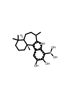 CC1CC[C@@H]2C(C)(C)CCC[C@@]2(C)c2c1[nH]c1c(B(O)O)c(O)c(O)cc21